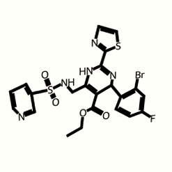 CCOC(=O)C1=C(CNS(=O)(=O)c2cccnc2)NC(c2nccs2)=NC1c1ccc(F)cc1Br